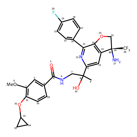 COc1cc(C(=O)NCC(C)(O)c2cc3c(c(-c4ccc(F)cc4)n2)OC[C@@]3(N)C(F)(F)F)ccc1OC1CC1